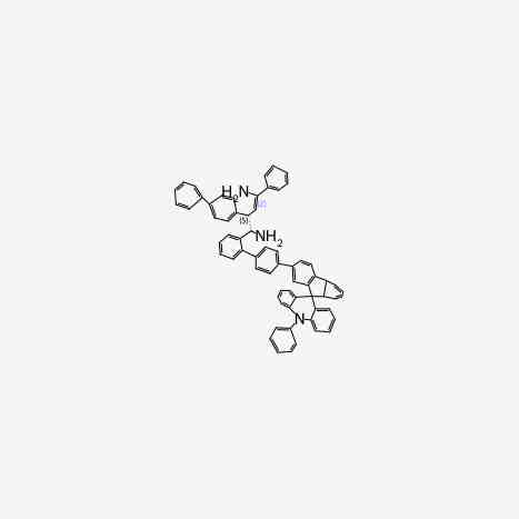 N/C(=C\[C@@H](c1ccc(-c2ccccc2)cc1)C(N)c1ccccc1-c1ccc(-c2ccc3c(c2)C2(c4ccccc4N(c4ccccc4)c4ccccc42)C2C=CC=CC32)cc1)c1ccccc1